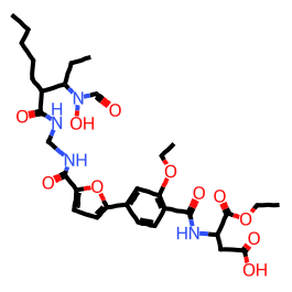 CCCCCC(C(=O)NCNC(=O)c1ccc(-c2ccc(C(=O)NC(CC(=O)O)C(=O)OCC)c(OCC)c2)o1)C(CC)N(O)C=O